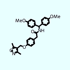 COc1ccc(C(NC(=O)Cc2ccc(OCc3c(C)noc3C)cc2)c2ccc(OC)cc2)cc1